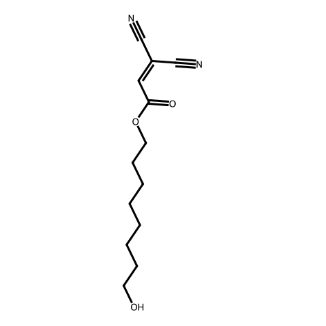 N#CC(C#N)=CC(=O)OCCCCCCCCO